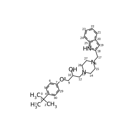 CC(C)(C)c1ccc(OCC(O)CN2CCN(Cc3cc4ccccc4[nH]3)CC2)cc1